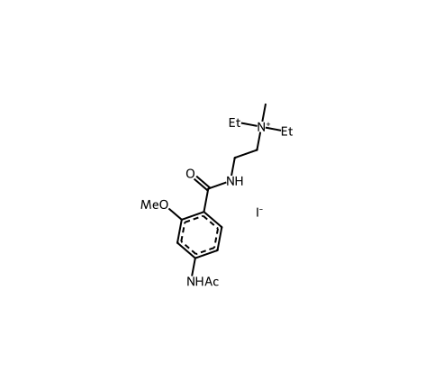 CC[N+](C)(CC)CCNC(=O)c1ccc(NC(C)=O)cc1OC.[I-]